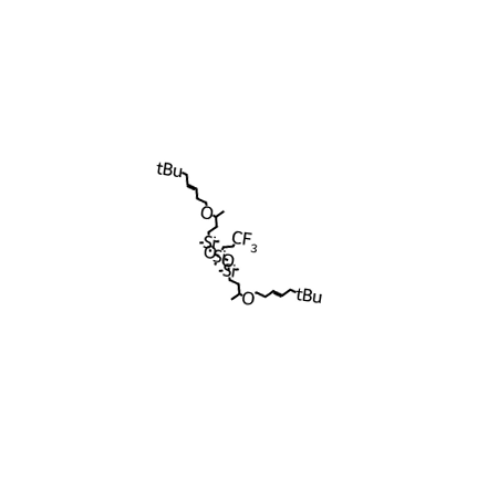 CC(CC[Si](C)(C)O[Si](C)(CCC(F)(F)F)O[Si](C)(C)CCC(C)OCC/C=C/CC(C)(C)C)OCC/C=C/CC(C)(C)C